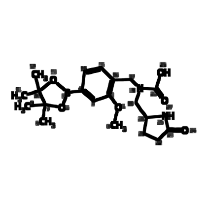 COc1cc(B2OC(C)(C)C(C)(C)O2)ccc1CN(CC1CCC(=O)N1)C(=O)O